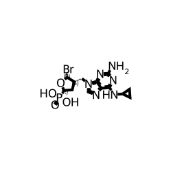 Nc1nc(NC2CC2)c2ncn(C[C@@H]3C[C@@H](P(=O)(O)O)O[C@@H]3Br)c2n1